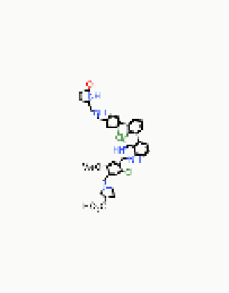 COc1cc(CNc2cccc(-c3cccc(-c4ccc(CNCC5CCC(=O)N5)cc4Cl)c3Cl)c2C=N)c(Cl)cc1CN1CCC(C(=O)O)C1